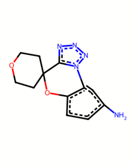 Nc1ccc2c(c1)-n1nnnc1C1(CCOCC1)O2